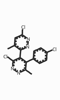 Cc1cc(Cl)nnc1-c1c(Cl)nnc(C)c1-c1ccc(Cl)cc1